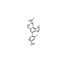 CNc1cc2c(cn1)cc(-c1cnc(O)cc1C)c1ncn(C)c12